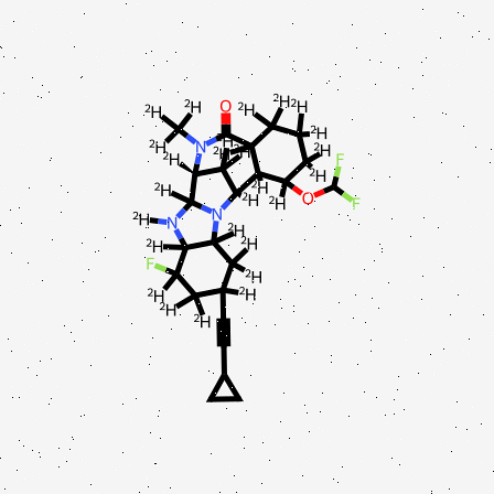 [2H]N1C2([2H])C([2H])(F)C([2H])([2H])C([2H])(C#CC3CC3)C([2H])([2H])C2([2H])N2C1([2H])[C@]1([2H])N(C([2H])([2H])[2H])C(=O)C3([2H])C([2H])([2H])C([2H])([2H])C([2H])([2H])C([2H])(OC(F)F)C3([2H])[C@@]2([2H])C1([2H])[2H]